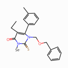 CCc1c(-c2cccc(C)c2)n(COCc2ccccc2)c(=S)n([Se])c1=O